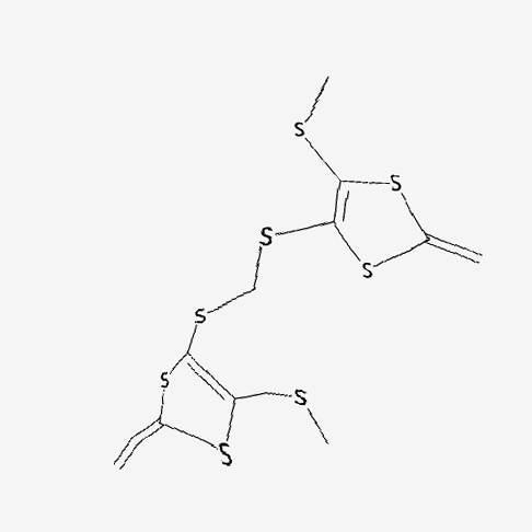 C=C1SC(SC)=C(SCSC2=C(SC)SC(=C)S2)S1